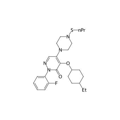 CCCSN1CCN(c2cnn(-c3ccccc3F)c(=O)c2OC2CCC(CC)CC2)CC1